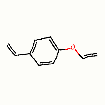 C=COc1ccc(C=C)cc1